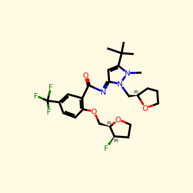 Cn1c(C(C)(C)C)cc(=NC(=O)c2cc(C(F)(F)F)ccc2OC[C@H]2OCC[C@H]2F)n1C[C@H]1CCCO1